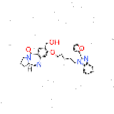 O=C1c2cc(CO)c(OCCCCCn3c(-c4ccco4)nc4ccccc43)cc2N=C[C@@H]2CCCN12